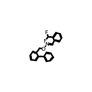 FC(F)c1ccccc1/[C]=N/OCc1ccccc1-c1ccccc1